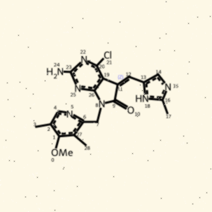 COc1c(C)cnc(CN2C(=O)/C(=C\c3cnc(C)[nH]3)c3c(Cl)nc(N)nc32)c1C